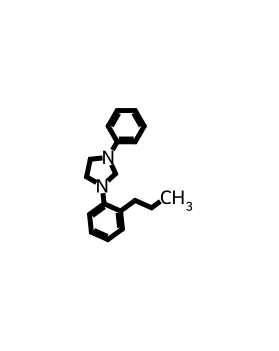 CCCc1ccccc1N1CCN(c2ccccc2)C1